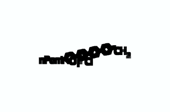 C=CC1CCC(C2CC=C(c3ccc(C4CCC(CCCCC)CO4)c(F)c3Cl)CC2)CC1